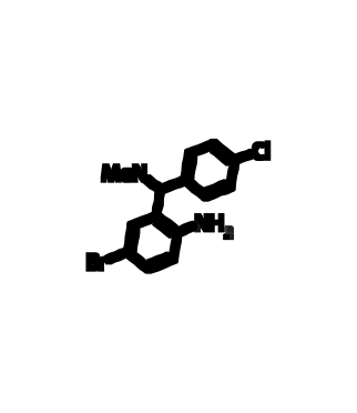 CNC(c1ccc(Cl)cc1)c1cc(Br)ccc1N